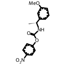 COc1cccc([C@@H](C)NC(=O)Oc2ccc([N+](=O)[O-])cc2)c1